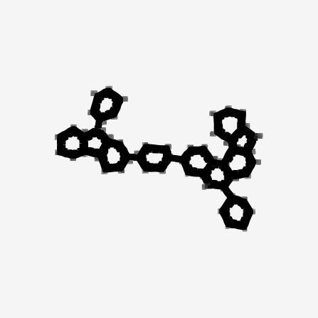 c1ccc(-c2nc3cc(-c4ccc(-c5ccc6c7ccccc7n(-c7ccccc7)c6c5)cc4)ccc3c3c2ccc2sc4ccccc4c23)cc1